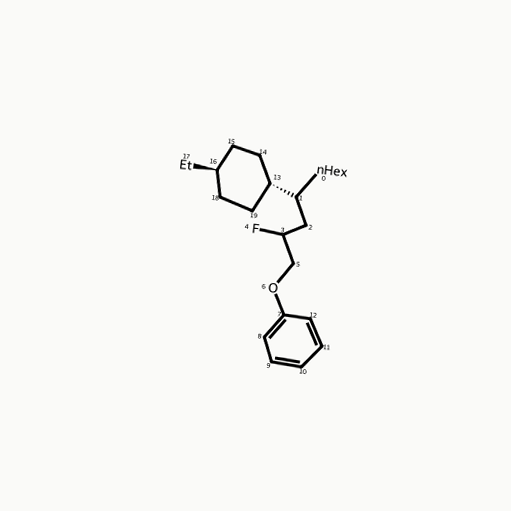 CCCCCCC(CC(F)COc1ccccc1)[C@H]1CC[C@H](CC)CC1